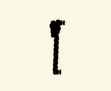 CC(=O)OCc1ccc(NC(=O)[C@H](C)NC(=O)[C@@H](NC(=O)CN2C(=O)[C@@H](N3C(=O)C=CC3=O)C[C@H]2COCCS(=O)(=O)O)C(C)C)cc1C#CCOCCOCCOCCOCCOCCOCCOCCOCCOCCOCOCCOCCOCCOCCOCCOCCO